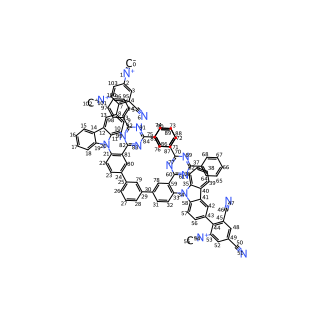 [C-]#[N+]c1cc(C#N)c(-c2ccc3c(c2)c2ccccc2n3-c2ccc(-c3cccc(-c4ccc(-n5c6ccccc6c6cc(-c7c(C#N)cc(C#N)cc7[N+]#[C-])ccc65)c(-c5nc(-c6ccccc6)nc(-c6ccccc6)n5)c4)c3)cc2-c2nc(-c3ccccc3)nc(-c3ccccc3)n2)c([N+]#[C-])c1